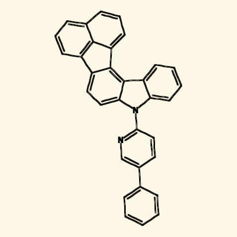 c1ccc(-c2ccc(-n3c4ccccc4c4c5c(ccc43)-c3cccc4cccc-5c34)nc2)cc1